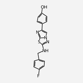 Oc1ccc(-c2cn3nc(NCc4ccc(F)cc4)sc3n2)cc1